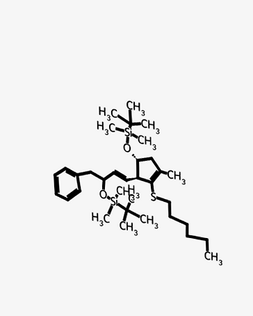 CCCCCCSC1=C(C)C[C@@H](O[Si](C)(C)C(C)(C)C)[C@@H]1/C=C/C(Cc1ccccc1)O[Si](C)(C)C(C)(C)C